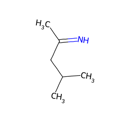 CC(=N)CC(C)C